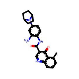 Cc1cccc2[nH]cc(C(=O)Nc3ccc(N4C5CCC4CC5)cc3N)c(=O)c12